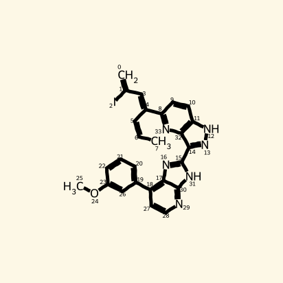 C=C(I)/C=C(\C=C/C)c1ccc2[nH]nc(-c3nc4c(-c5cccc(OC)c5)ccnc4[nH]3)c2n1